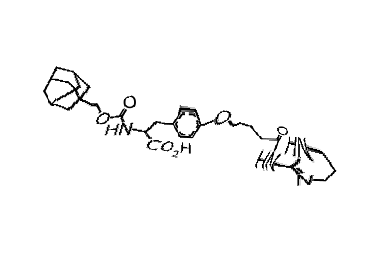 O=C(CCCOc1ccc(C[C@H](NC(=O)OCC23CC4CC(CC(C4)C2)C3)C(=O)O)cc1)NC1=NCCCN1